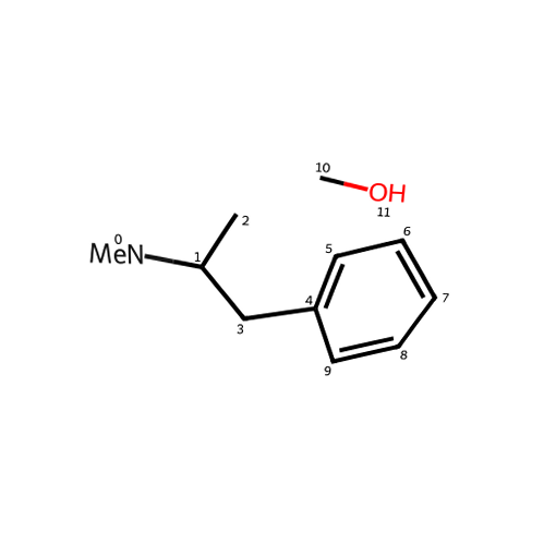 CNC(C)Cc1ccccc1.CO